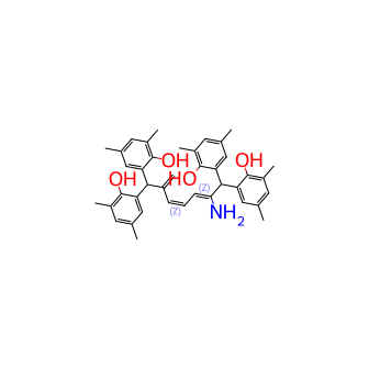 C=C(/C=C\C=C(/N)C(c1cc(C)cc(C)c1O)c1cc(C)cc(C)c1O)C(c1cc(C)cc(C)c1O)c1cc(C)cc(C)c1O